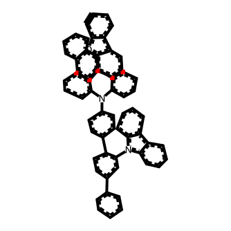 c1ccc2c(c#1)oc1c(-c3ccccc3N(c3ccc(-c4ccc(-c5ccccc5)cc4-n4c5ccccc5c5ccccc54)cc3)c3ccccc3-c3ccc4ccccc4c3)cccc12